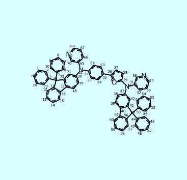 c1ccc(C2(c3ccccc3)c3ccccc3-c3ccc(N(c4ccc(-c5ccc(N(c6cccnc6)c6ccc7c(c6)C(c6ccccc6)(c6ccccc6)c6ccccc6-7)o5)cc4)c4cccnc4)cc32)cc1